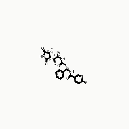 CC(C)[C@@H](NC(=O)C[C@H](NC(=O)c1ccc(F)nc1)c1ccccc1)C(=O)[C@@H]1C(=O)NC(=O)[C@@H]1C